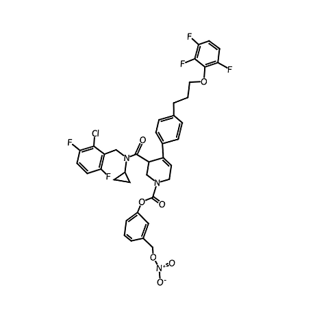 O=C(Oc1cccc(CO[N+](=O)[O-])c1)N1CC=C(c2ccc(CCCOc3c(F)ccc(F)c3F)cc2)C(C(=O)N(Cc2c(F)ccc(F)c2Cl)C2CC2)C1